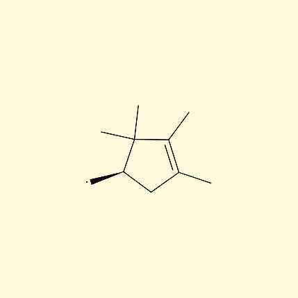 [CH2][C@@H]1CC(C)=C(C)C1(C)C